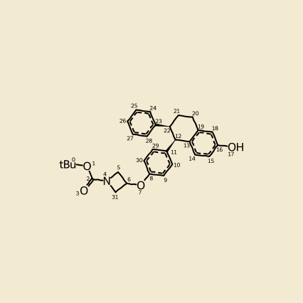 CC(C)(C)OC(=O)N1CC(Oc2ccc([C@@H]3c4ccc(O)cc4CC[C@@H]3c3ccccc3)cc2)C1